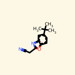 CC(C)(C)c1ccc2oc(CC#N)nc2c1